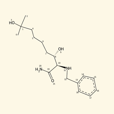 CC(C)(O)CCCC[C@H](O)[C@@H](NCc1ccccc1)C(N)=O